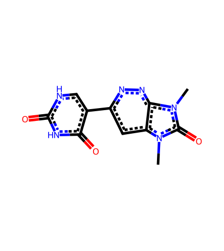 Cn1c(=O)n(C)c2nnc(-c3c[nH]c(=O)[nH]c3=O)cc21